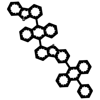 c1ccc(-c2c3ccccc3c(-c3ccc4sc5c(-c6c7ccccc7c(-c7cccc8c7oc7ccccc78)c7ccccc67)cccc5c4c3)c3ccccc23)cc1